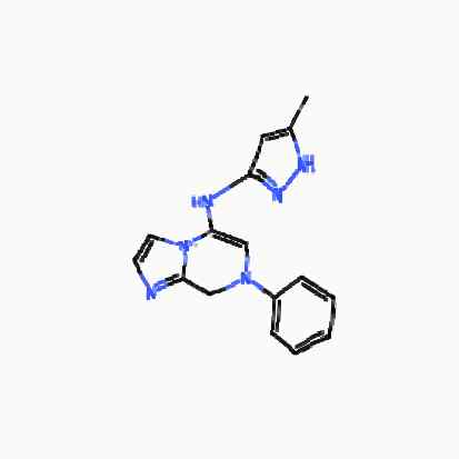 Cc1cc(NC2=CN(c3ccccc3)CC3=NC=C[N+]23)n[nH]1